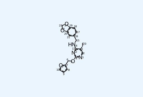 Fc1cnc(OCc2ccco2)nc1NCc1ccc2c(c1)OCO2